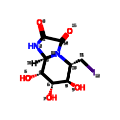 O=C1N[C@@H]2[C@@H](O)[C@@H](O)[C@H](O)[C@@H](CI)N2C1=O